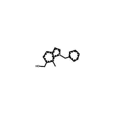 Cc1c(CO)ccc2ccn(Cc3ccccc3)c12